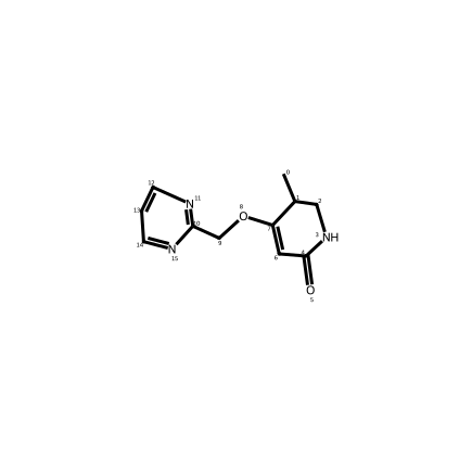 CC1CNC(=O)C=C1OCc1ncccn1